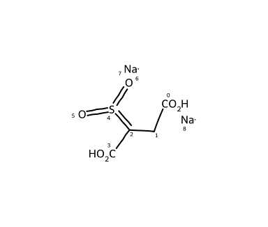 O=C(O)CC(C(=O)O)=S(=O)=O.[Na].[Na]